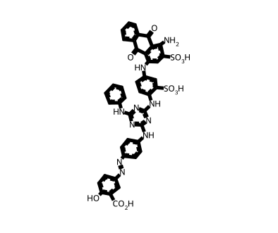 Nc1c(S(=O)(=O)O)cc(Nc2ccc(Nc3nc(Nc4ccccc4)nc(Nc4ccc(/N=N/c5ccc(O)c(C(=O)O)c5)cc4)n3)c(S(=O)(=O)O)c2)c2c1C(=O)c1ccccc1C2=O